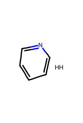 [HH].c1ccncc1